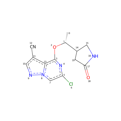 C[C@@H](Oc1nc(Cl)cn2ncc(C#N)c12)C1CNC(=O)C1